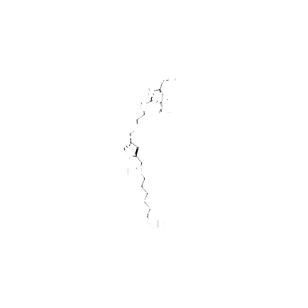 CCCCCCCNCc1cc(CSCCNc2nc(CO)nn2C)cs1